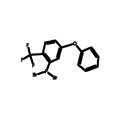 FC(F)(F)c1ccc(Oc2ccccc2)cc1P(Br)Br